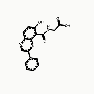 O=C(O)CNC(=O)c1c(O)ccc2ncc(-c3ccccc3)nc12